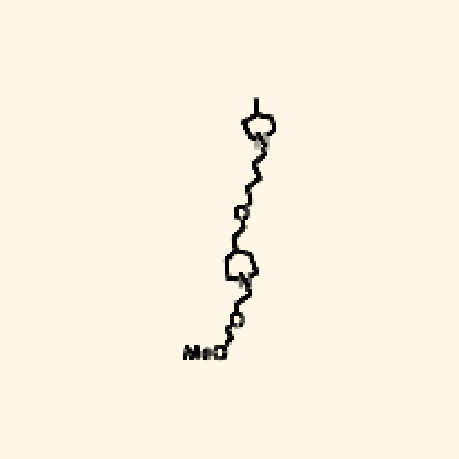 COCCOCCN1CCC(CCOCCCCCN2CCC(C)CC2)CC1